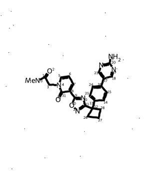 CNC(=O)Cn1cccc(-c2nc(C3(c4ccc(-c5cnc(N)nc5)cc4)CCC3)no2)c1=O